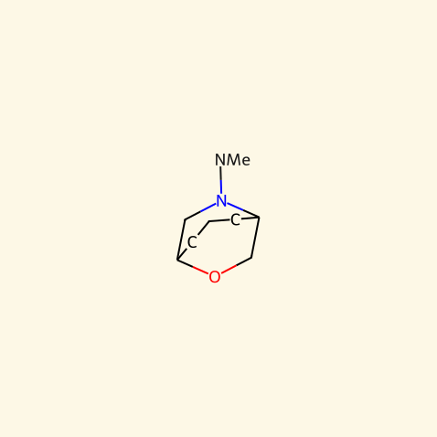 CNN1CC2CCCC1CO2